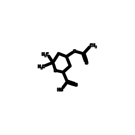 CC(=O)OC1CC(C(=O)O)OC(C)(C)C1